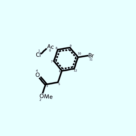 CC(=O)Cl.COC(=O)Cc1cccc(Br)c1